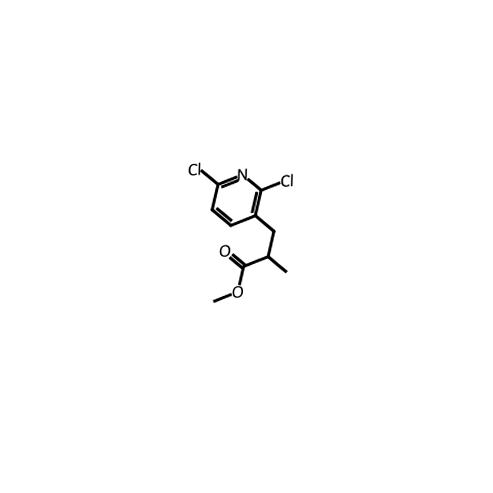 COC(=O)C(C)Cc1ccc(Cl)nc1Cl